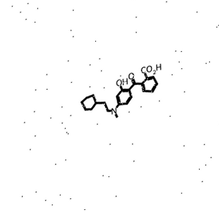 CN(CCC1CCCCC1)c1ccc(C(=O)c2ccccc2C(=O)O)c(O)c1